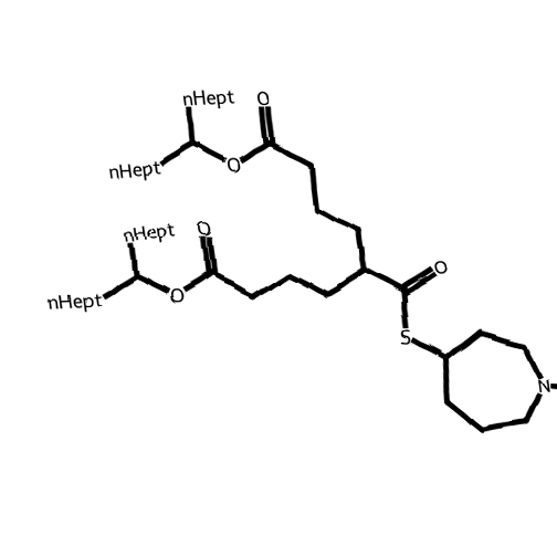 CCCCCCCC(CCCCCCC)OC(=O)CCCC(CCCC(=O)OC(CCCCCCC)CCCCCCC)C(=O)SC1CCCN(CC)CC1